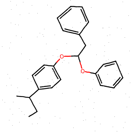 CCC(C)c1ccc(OC(Cc2ccccc2)Oc2ccccc2)cc1